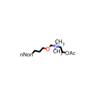 CCCCCCCCCCCCOC[N+](C)(C)CCOC(C)=O